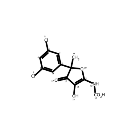 CC1(c2cc(Cl)cc(Cl)c2)OC(NC(=O)O)=C(O)C1=O